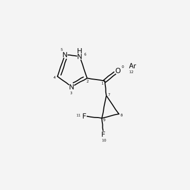 O=C(c1ncn[nH]1)C1CC1(F)F.[Ar]